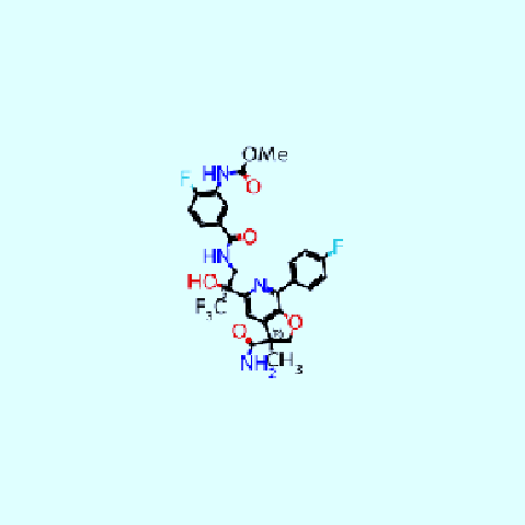 COC(=O)Nc1cc(C(=O)NC[C@](O)(c2cc3c(c(-c4ccc(F)cc4)n2)OC[C@]3(C)C(N)=O)C(F)(F)F)ccc1F